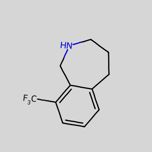 FC(F)(F)c1cccc2c1CNCCC2